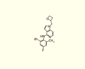 Cc1cc(F)cc(C(C)C)c1Nc1nccc2c1ccn2CC1CCO1